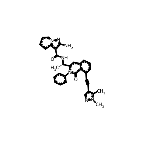 Cc1c(C#Cc2cccc3cc([C@H](C)NC(=O)c4c(N)nn5ccccc45)n(-c4ccccc4)c(=O)c23)cnn1C